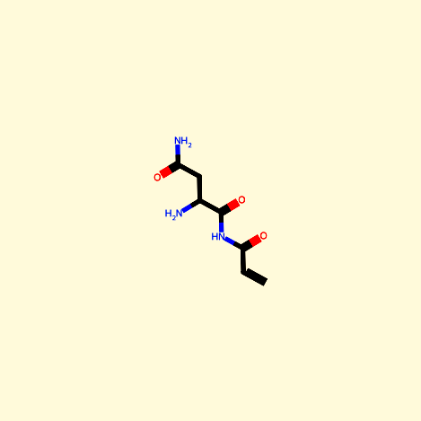 C=CC(=O)NC(=O)C(N)CC(N)=O